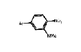 CNc1cc(C(C)=O)ccc1[N+](=O)[O-]